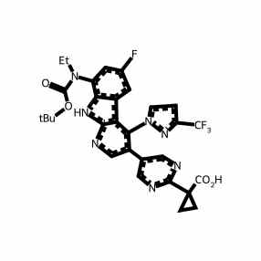 CCN(C(=O)OC(C)(C)C)c1cc(F)cc2c1[nH]c1ncc(-c3cnc(C4(C(=O)O)CC4)nc3)c(-n3ccc(C(F)(F)F)n3)c12